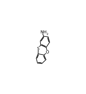 Nc1ccc2c(c1)Sc1ccccc1O2